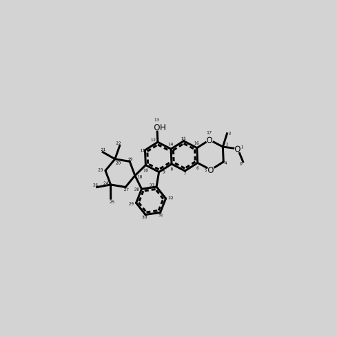 COC1(C)COc2cc3c4c(cc(O)c3cc2O1)C1(CC(C)(C)CC(C)(C)C1)c1ccccc1-4